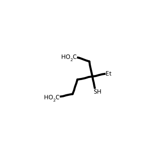 CCC(S)(CCC(=O)O)CC(=O)O